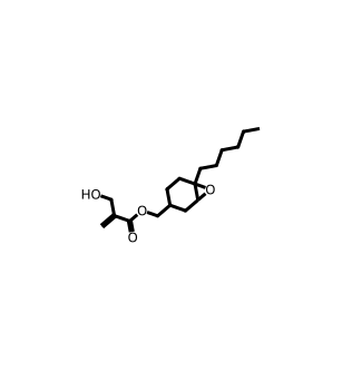 C=C(CO)C(=O)OCC1CCC2(CCCCCC)OC2C1